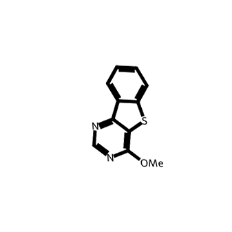 COc1ncnc2c1sc1ccccc12